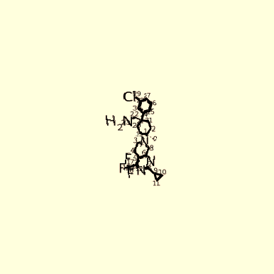 C[C@]1(N2CCc3c(nc(C4CC4)nc3C(F)(F)F)C2)CC[C@](CN)(c2cccc(Cl)c2)CC1